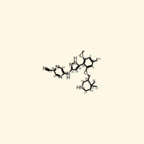 COc1cc(F)cc(OCC2CNCCC2(C)C)c1-c1cc(Nc2cnc(C#N)cn2)n[nH]1